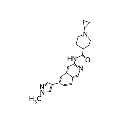 Cn1cc(-c2ccc3cnc(NC(=O)C4CCN(C5CC5)CC4)cc3c2)cn1